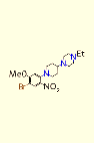 CCN1CCN(C2CCN(c3cc(OC)c(Br)cc3[N+](=O)[O-])CC2)CC1